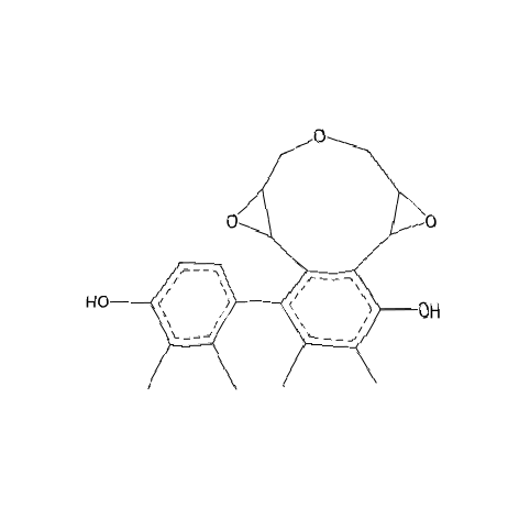 Cc1c(O)ccc(-c2c(C)c(C)c(O)c3c2C2OC2COCC2OC32)c1C